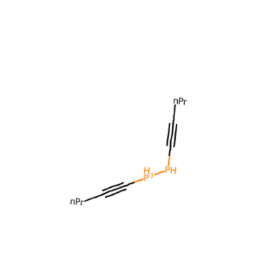 CCCC#CP[PH3]C#CCCC